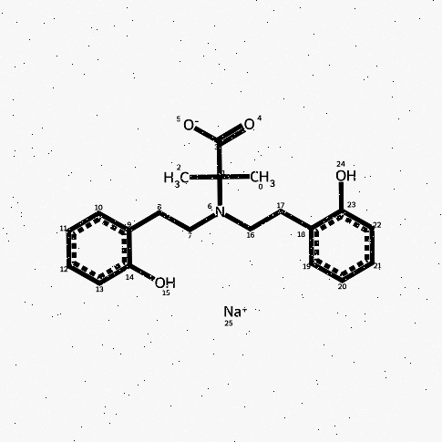 CC(C)(C(=O)[O-])N(CCc1ccccc1O)CCc1ccccc1O.[Na+]